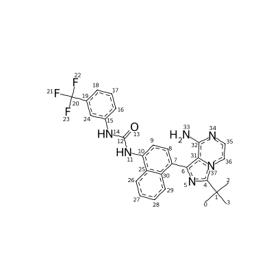 CC(C)(C)c1nc(-c2ccc(NC(=O)Nc3cccc(C(F)(F)F)c3)c3ccccc23)c2c(N)nccn12